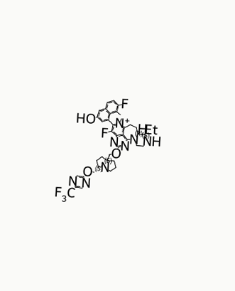 CC[C@@H]1NCCN2c3nc(OC[C@@]45CCCN4[C@H](COc4cnc(C(F)(F)F)cn4)CC5)nc4c(F)c(-c5cc(O)cc6ccc(F)c(C)c56)[n+](C)c(c34)CC[C@H]12